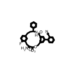 CC1(N)Cc2cc(ccc2F)CCC(c2ccccc2)NC(=O)c2cc(cc(-c3ccccc3C#N)c2)COC1=O